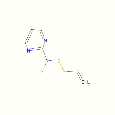 C=CCSN(F)c1ncccn1